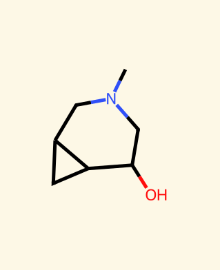 CN1CC(O)C2CC2C1